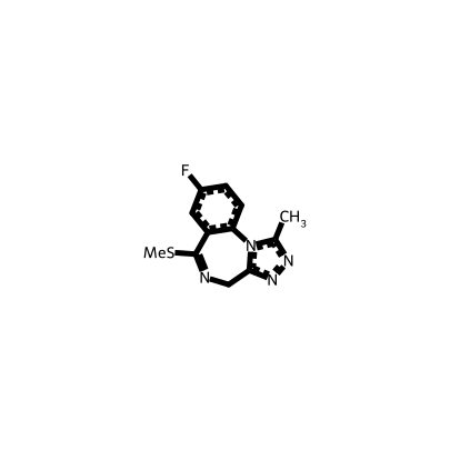 CSC1=NCc2nnc(C)n2-c2ccc(F)cc21